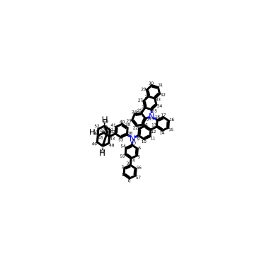 c1ccc(-c2ccc(N(c3ccc(-c4ccccc4-n4c5ccccc5c5cc6ccccc6cc54)cc3)c3cccc(C45C[C@H]6C[C@H](C4)C[C@@H](C5)C6)c3)cc2)cc1